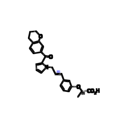 C[C@H](Oc1cccc(/C=C/Cn2cccc2C(=O)c2ccc3c(c2)OCCC3)c1)C(=O)O